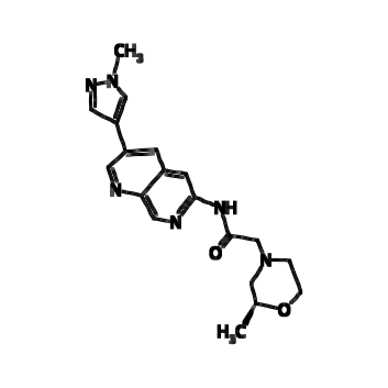 C[C@H]1CN(CC(=O)Nc2cc3cc(-c4cnn(C)c4)cnc3cn2)CCO1